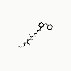 CCNC(=S)NNC(=O)NCCCOc1cccc(CN2CCCCC2)c1